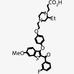 CCC1CN(CCOc2ccc(Oc3c(C(=O)c4cccc(F)c4)sc4cc(OC)ccc34)cc2)CCN1CCC(=O)O